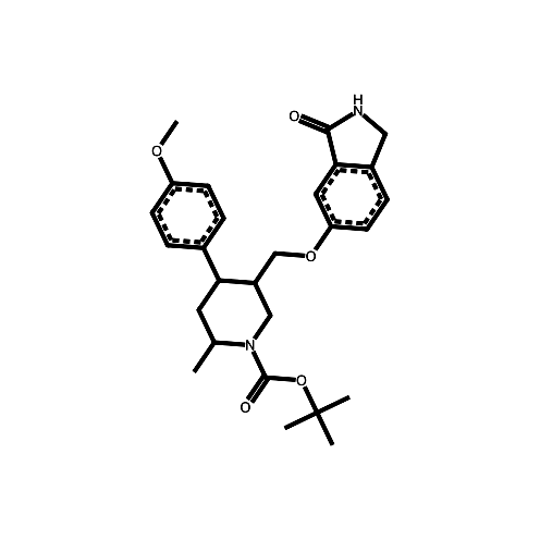 COc1ccc(C2CC(C)N(C(=O)OC(C)(C)C)CC2COc2ccc3c(c2)C(=O)NC3)cc1